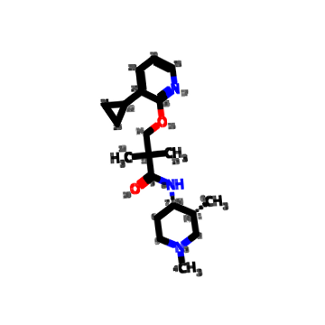 C[C@@H]1CN(C)CC[C@@H]1NC(=O)C(C)(C)COc1ncccc1C1CC1